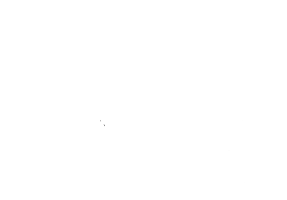 CC1(C)c2ccccc2-c2c(N(c3ccc(-c4cc5c6ccccc6sc5c5ccccc45)cc3)c3cccc(-c4ccccc4)c3)cccc21